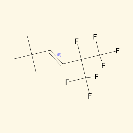 CC(C)(C)/C=C/C(F)(C(F)(F)F)C(F)(F)F